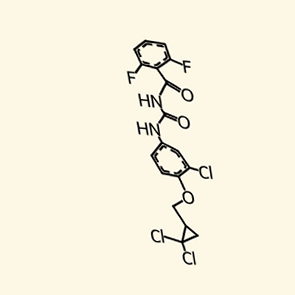 O=C(NC(=O)c1c(F)cccc1F)Nc1ccc(OCC2CC2(Cl)Cl)c(Cl)c1